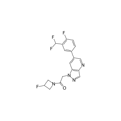 O=C(Cn1ncc2ncc(-c3ccc(F)c(C(F)F)c3)cc21)N1CC(F)C1